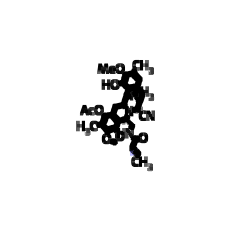 C/C=C/C(=O)NC[C@H]1c2c(c(OC(C)=O)c(C)c3c2OCO3)CC2C3c4c(cc(C)c(OC)c4O)CC([C@H](C#N)N21)N3C